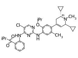 Cc1cc(Nc2ncc(Cl)c(Nc3ccccc3S(=O)(=O)C(C)C)n2)c(OC(C)C)cc1C1=CC(C2CC2)N(C)[C@@H](C2CC2)C1